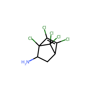 NC1CC2C(Cl)=C(Cl)C1(Cl)C2(Cl)Cl